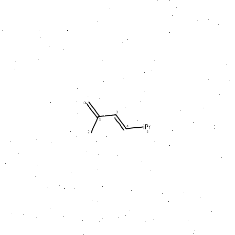 C=C(C)C=CC(C)C